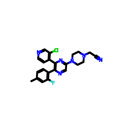 Cc1ccc(-c2ncc(N3CCN(CC#N)CC3)nc2-c2ccncc2Cl)c(F)c1